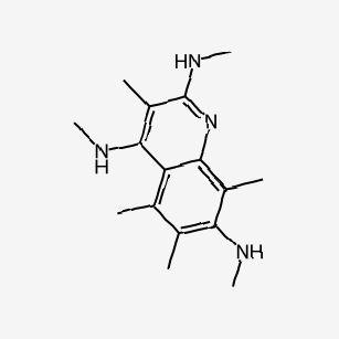 CNc1nc2c(C)c(NC)c(C)c(C)c2c(NC)c1C